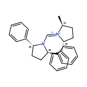 C[C@H]1CC[C@H](c2ccccc2)/[N+]1=C\N1[C@@H](c2ccccc2)CC[C@@H]1c1ccccc1